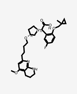 COc1cc(CCCCO[C@@H]2CCN([C@H](C(=O)O)c3cc(F)ccc3OCC3(C)CC3)C2)nc2c1CCCN2